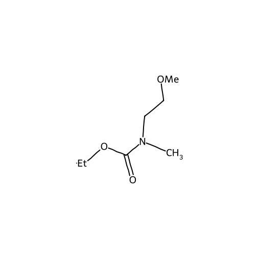 C[CH]OC(=O)N(C)CCOC